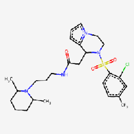 CC1CCCC(C)N1CCCNC(=O)CC1c2cccn2CCN1S(=O)(=O)c1ccc(C(F)(F)F)cc1Cl